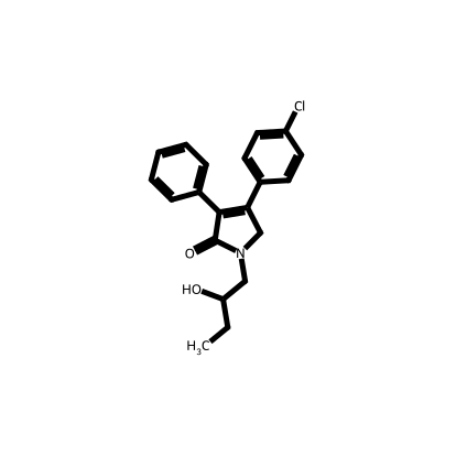 CCC(O)CN1CC(c2ccc(Cl)cc2)=C(c2ccccc2)C1=O